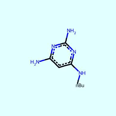 CCCCNc1cc(N)nc(N)n1